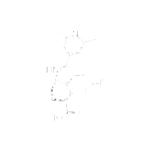 Cc1cc(-c2[nH]c3ccc(C(=O)O)cc3c2CC(F)F)cc(C)n1